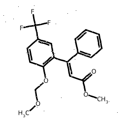 COCOc1ccc(C(F)(F)F)cc1/C(=C/C(=O)OC)c1ccccc1